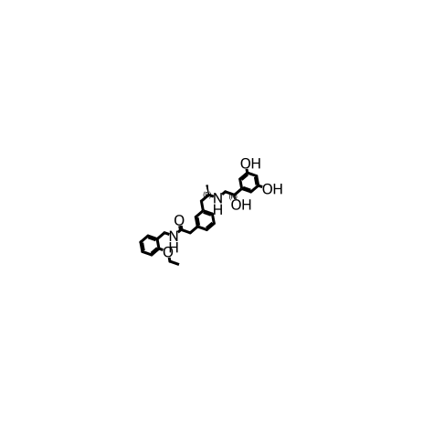 CCOc1ccccc1CNC(=O)Cc1cccc(C[C@@H](C)NC[C@H](O)c2cc(O)cc(O)c2)c1